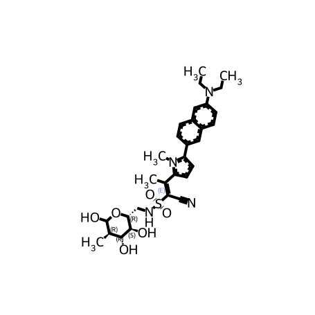 CCN(CC)c1ccc2cc(-c3ccc(/C(C)=C(\C#N)S(=O)(=O)NC[C@H]4OC(O)[C@H](C)[C@@H](O)[C@@H]4O)n3C)ccc2c1